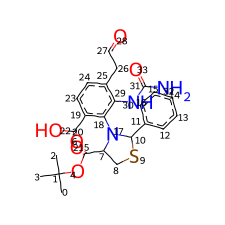 CC(C)(C)OC(=O)C1CSC(c2ccccc2)N1c1c(C(=O)O)ccc(CC=O)c1NC(N)=O